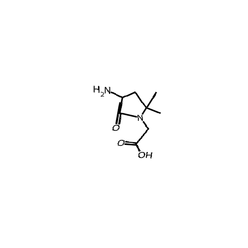 CC1(C)CC(N)C(=O)N1CC(=O)O